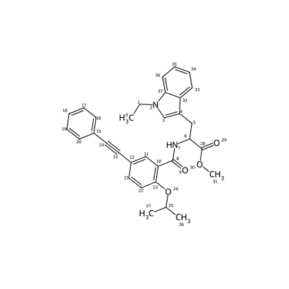 CCn1cc(CC(NC(=O)c2cc(C#Cc3ccccc3)ccc2OC(C)C)C(=O)OC)c2ccccc21